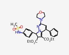 CCOC(=O)C1=C2C(c3ccccc3)=CC(N3CCOCC3)=NN2C(c2ccc(NS(C)(=O)=O)cc2)C1C(=O)OCC